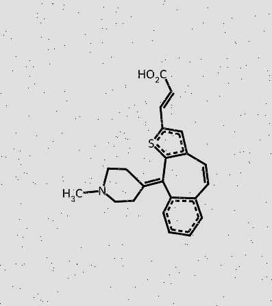 CN1CCC(=C2c3ccccc3C=Cc3cc(C=CC(=O)O)sc32)CC1